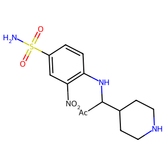 CC(=O)C(Nc1ccc(S(N)(=O)=O)cc1[N+](=O)[O-])C1CCNCC1